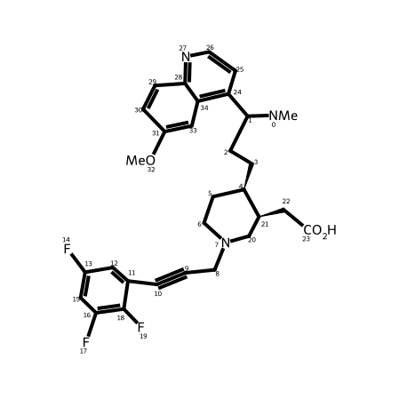 CNC(CC[C@@H]1CCN(CC#Cc2cc(F)cc(F)c2F)C[C@@H]1CC(=O)O)c1ccnc2ccc(OC)cc12